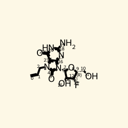 C=CCn1c(=O)n([C@@H]2O[C@H](CO)[C@@H](F)[C@H]2O)c2nc(N)[nH]c(=O)c21